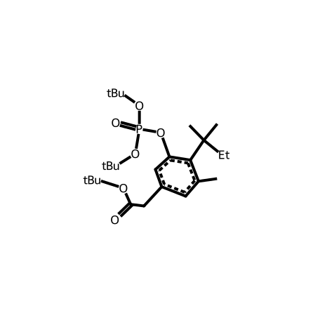 CCC(C)(C)c1c(C)cc(CC(=O)OC(C)(C)C)cc1OP(=O)(OC(C)(C)C)OC(C)(C)C